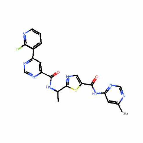 CC(NC(=O)c1cc(-c2cccnc2F)ncn1)c1ncc(C(=O)Nc2cc(C(C)(C)C)ncn2)s1